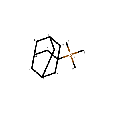 CS(C)(C)C12CC3CC(CC(C3)C1)C2